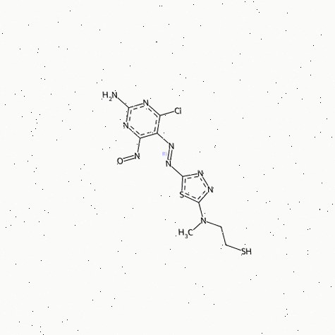 CN(CCS)c1nnc(/N=N/c2c(Cl)nc(N)nc2N=O)s1